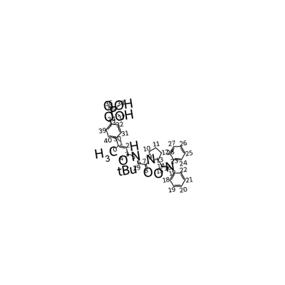 C/C(=C\C(=O)N[C@H](C(=O)N1CCC[C@H]1C(=O)N(c1ccccc1)c1ccccc1)C(C)(C)C)c1ccc(OP(=O)(O)O)cc1